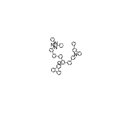 C1=CC(c2nc(-c3ccccc3)nc(-c3cccc(-c4cccc(-c5cccc(-c6cc(-c7cccc(-c8ccc(-n9c%10ccccc%10c%10cc(-c%11ccccc%11)ccc%109)cc8)c7)cc7c6oc6cc8c9ccccc9c9ccccc9c8cc67)c5)c4)c3)n2)=CCC1